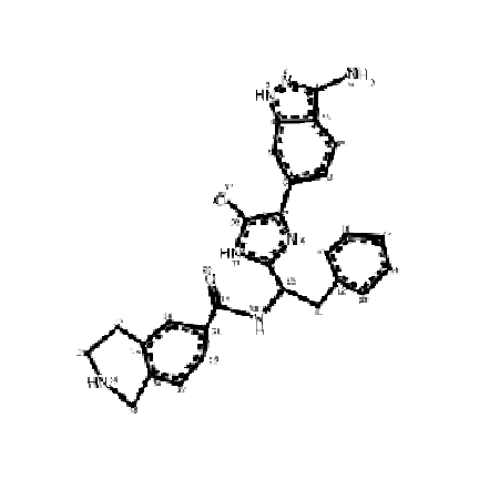 Nc1n[nH]c2cc(-c3nc(C(Cc4ccccc4)NC(=O)c4ccc5c(c4)CCNC5)[nH]c3Cl)ccc12